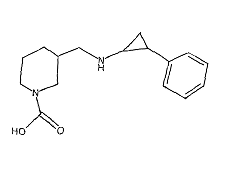 O=C(O)N1CCCC(CNC2CC2c2ccccc2)C1